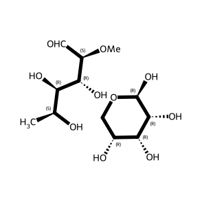 CO[C@H](C=O)[C@H](O)[C@H](O)[C@H](C)O.O[C@@H]1[C@H](O)[C@H](O)CO[C@H]1O